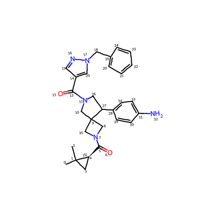 CC1(C)C[C@@H]1C(=O)N1CC2(CN(C(=O)c3cnn(Cc4ccccc4)c3)CC2c2ccc(N)cc2)C1